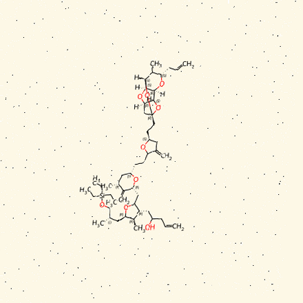 C=CCC(O)C[C@H]1C(C[C@H]2O[C@@H](CCC3O[C@@H](CC[C@@]45C[C@H]6O[C@@H]7[C@@H](O[C@@H](CC=C)C(C)[C@@H]7O4)[C@H]6O5)CC3=C)C[C@@H](C)C2=C)O[C@H](C[C@H](C)CO[Si](CC)(CC)CC)[C@@H]1C